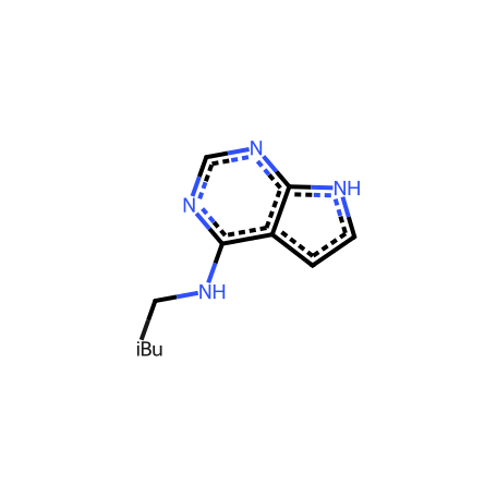 CCC(C)CNc1ncnc2[nH]ccc12